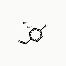 O=Cc1ccc(Br)cc1.[Br-].[Cu+]